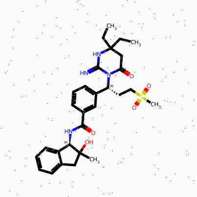 CCC1(CC)CC(=O)N([C@H](CCS(C)(=O)=O)c2cccc(C(=O)N[C@@H]3c4ccccc4CC3(C)O)c2)C(=N)N1